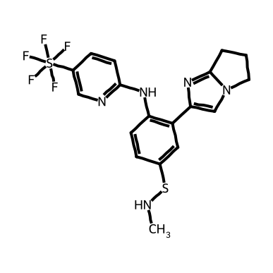 CNSc1ccc(Nc2ccc(S(F)(F)(F)(F)F)cn2)c(-c2cn3c(n2)CCC3)c1